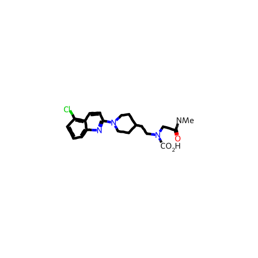 CNC(=O)CN(CCC1CCN(c2ccc3c(Cl)cccc3n2)CC1)C(=O)O